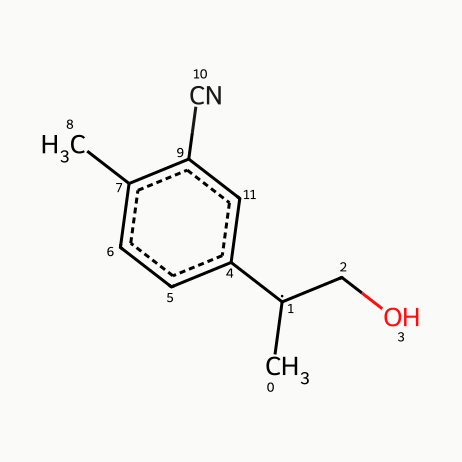 C[C](CO)c1ccc(C)c(C#N)c1